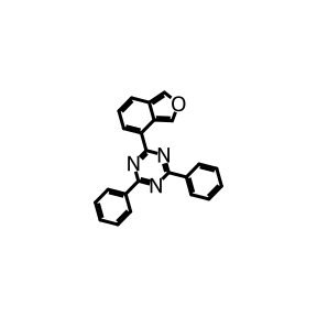 c1ccc(-c2nc(-c3ccccc3)nc(-c3cccc4cocc34)n2)cc1